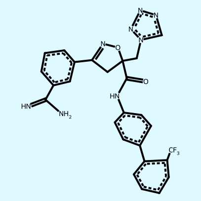 N=C(N)c1cccc(C2=NOC(Cn3cnnn3)(C(=O)Nc3ccc(-c4ccccc4C(F)(F)F)cc3)C2)c1